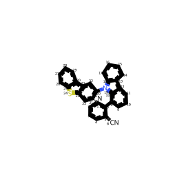 N#Cc1cccc(C#N)c1-c1cccc2c3ccccc3n(-c3ccc4sc5ccccc5c4c3)c12